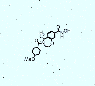 CO[C@H]1CC[C@H](C(=O)N2CCOc3cc(C(=O)NO)ccc3[C@@H]2C)CC1